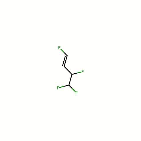 F/C=C/C(F)C(F)F